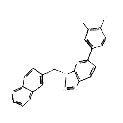 Cc1ccc(-c2ccc3nnn(Cc4ccc5ncccc5c4)c3n2)cc1C